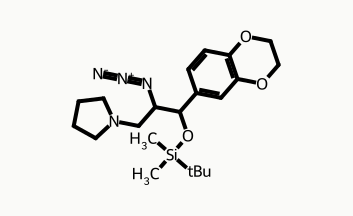 CC(C)(C)[Si](C)(C)OC(c1ccc2c(c1)OCCO2)C(CN1CCCC1)N=[N+]=[N-]